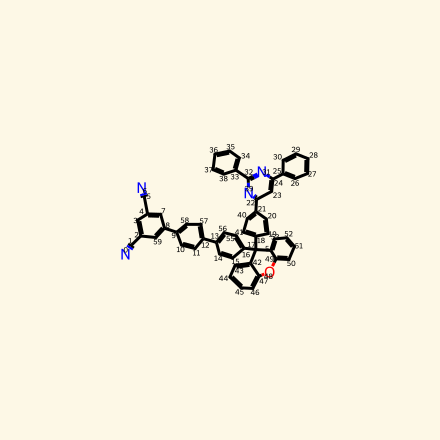 N#Cc1cc(C#N)cc(-c2ccc(-c3ccc(C4(c5ccc(-c6cc(-c7ccccc7)nc(-c7ccccc7)n6)cc5)c5ccccc5Oc5ccccc54)cc3)cc2)c1